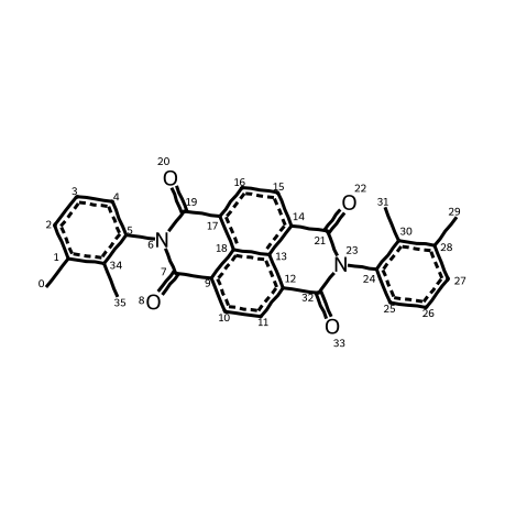 Cc1cccc(N2C(=O)c3ccc4c5c(ccc(c35)C2=O)C(=O)N(c2cccc(C)c2C)C4=O)c1C